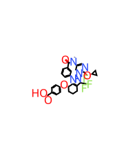 CN(C(=O)c1cccc(-n2nc(C(F)(F)F)c3c2C(Oc2ccc(C(=O)O)cc2)CCC3)c1)c1cnc(OC2CC2)nc1